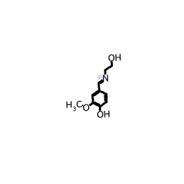 COc1cc(/C=N/CCO)ccc1O